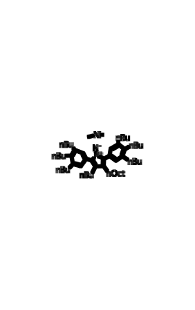 CCCCCCCCC1=C(c2cc(CCCC)c(CCCC)c(CCCC)c2)[N+](=[N-])C(c2cc(CCCC)c(CCCC)c(CCCC)c2)=C1CCCC.[CH3][Ni][CH3]